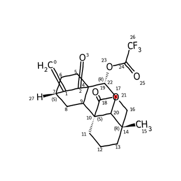 C=C1C(=O)C23CC[C@H]1CC2[C@@]12CCC[C@@](C)(COC1=O)C2C[C@H]3OC(=O)C(F)(F)F